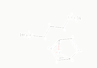 O=C(O)CCCC(=O)O.c1cc2ccc1o2